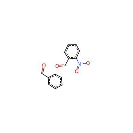 O=Cc1ccccc1.O=Cc1ccccc1[N+](=O)[O-]